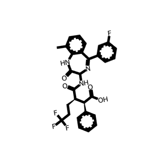 Cc1cccc2c1NC(=O)C(NC(=O)[C@H](CCC(F)(F)F)[C@@H](C(=O)O)c1ccccc1)N=C2c1cccc(F)c1